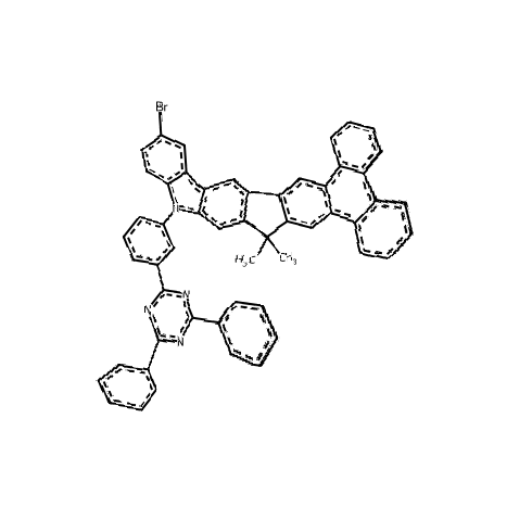 CC1(C)c2cc3c4ccccc4c4ccccc4c3cc2-c2cc3c4cc(Br)ccc4n(-c4cccc(-c5nc(-c6ccccc6)nc(-c6ccccc6)n5)c4)c3cc21